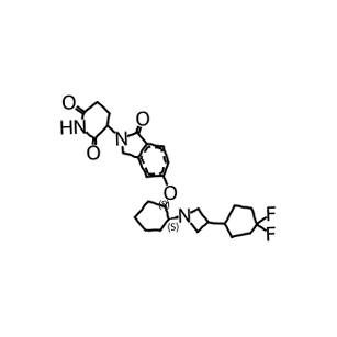 O=C1CCC(N2Cc3cc(O[C@H]4CCCC[C@@H]4N4CC(C5CCC(F)(F)CC5)C4)ccc3C2=O)C(=O)N1